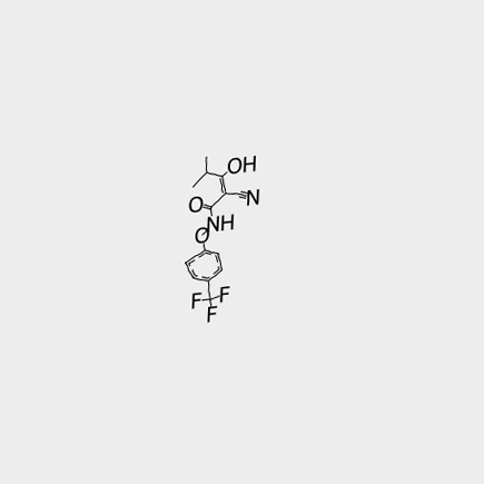 CC(C)/C(O)=C(/C#N)C(=O)NOc1ccc(C(F)(F)F)cc1